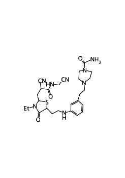 CCN1C(=O)C(CCNc2cccc(CCN3CCN(C(N)=O)CC3)c2)SC1CC(C#N)C(=O)NCC#N